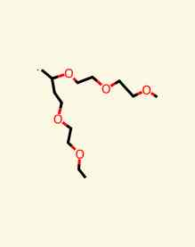 [CH2]C(CCOCCOCC)OCCOCCOC